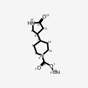 CC(C)(C)OC(=O)N1CCC(C2CNC(=O)C2)CC1